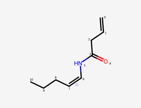 C=CCC(=O)N/C=C\CCC